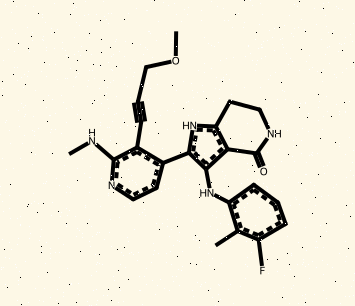 CNc1nccc(-c2[nH]c3c(c2Nc2cccc(F)c2C)C(=O)NCC3)c1C#CCOC